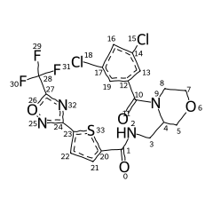 O=C(NCC1COCCN1C(=O)c1cc(Cl)cc(Cl)c1)c1ccc(-c2noc(C(F)(F)F)n2)s1